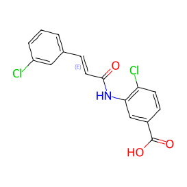 O=C(/C=C/c1cccc(Cl)c1)Nc1cc(C(=O)O)ccc1Cl